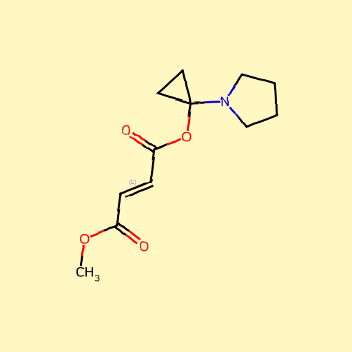 COC(=O)/C=C/C(=O)OC1(N2CCCC2)CC1